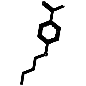 [CH2]C(=O)c1ccc(OCCCC)cc1